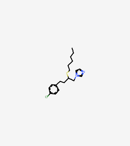 CCCCCCSC(CCc1ccc(Cl)cc1)Cn1ccnc1